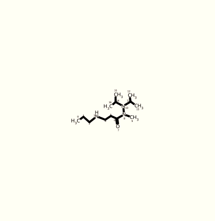 CCCNCCC(=O)N(C)N(C(C)C)C(C)C